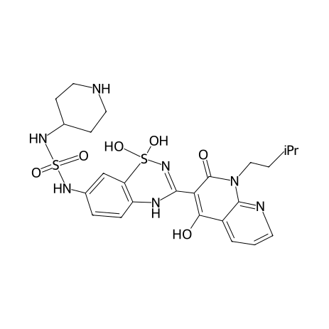 CC(C)CCn1c(=O)c(C2=NS(O)(O)c3cc(NS(=O)(=O)NC4CCNCC4)ccc3N2)c(O)c2cccnc21